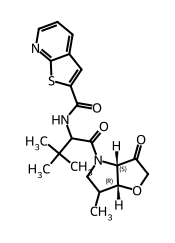 CC1CN(C(=O)C(NC(=O)c2cc3cccnc3s2)C(C)(C)C)[C@@H]2C(=O)CO[C@H]12